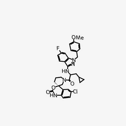 COc1ccc(Cn2nc(NC(CC3CC3)C(=O)N3CCC[C@@]4(C3)OC(=O)Nc3ccc(Cl)cc34)c3ccc(F)cc32)cc1